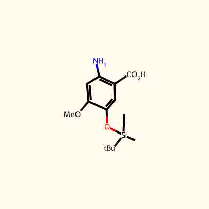 COc1cc(N)c(C(=O)O)cc1O[Si](C)(C)C(C)(C)C